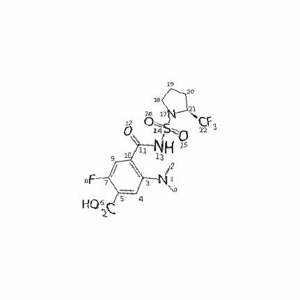 CN(C)c1cc(C(=O)O)c(F)cc1C(=O)NS(=O)(=O)N1CCC[C@H]1C(F)(F)F